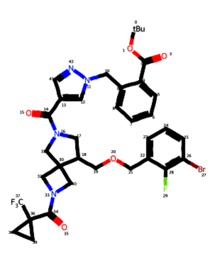 CC(C)(C)OC(=O)c1ccccc1Cn1cc(C(=O)N2CC(COCc3cccc(Br)c3F)C3(C2)CN(C(=O)C2(C(F)(F)F)CC2)C3)cn1